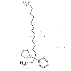 CCCCCCCCCCCCC(CC)(c1ccccc1)N1CCCC1